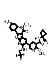 CNC(=O)c1c(-c2ccc(C)cc2)oc2nc(NCC(F)(F)F)c(-c3cnc(OC)c(C(=O)NC4(C#N)CCC4)c3)cc12